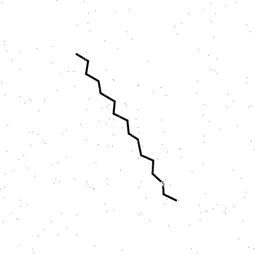 [CH2]CSCCCCCCCCCCCCC